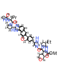 CC[C@H]1C[C@@H](c2ncc(-c3ccc4c(c3)COc3cc5c(ccc6nc([C@@H]7CC[C@H](C)N7C(=O)[C@@H](NC(=O)OC)C(C)C)[nH]c65)cc3-4)[nH]2)N(C(=O)C(NC(=O)OC)C2CCOCC2)C1